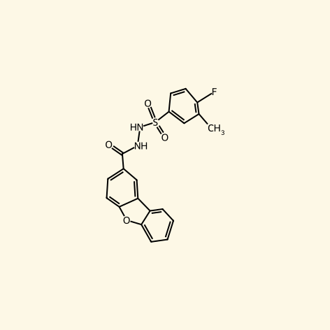 Cc1cc(S(=O)(=O)NNC(=O)c2ccc3oc4ccccc4c3c2)ccc1F